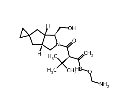 C=C(BOCN)[C@H](C(=O)N1C[C@@H]2CC3(CC3)C[C@@H]2[C@H]1CO)C(C)(C)C